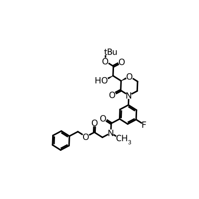 CN(CC(=O)OCc1ccccc1)C(=O)c1cc(F)cc(N2CCO[C@H]([C@@H](O)C(=O)OC(C)(C)C)C2=O)c1